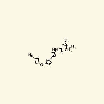 CC(C)(C)OC(=O)NC12CC(c3csc(O[C@H]4C[C@@H](C#N)C4)n3)(C1)C2